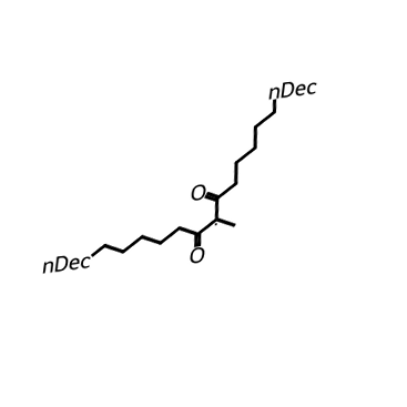 CCCCCCCCCCCCCCCC(=O)[C](C)C(=O)CCCCCCCCCCCCCCC